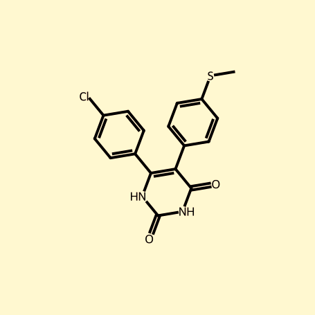 CSc1ccc(-c2c(-c3ccc(Cl)cc3)[nH]c(=O)[nH]c2=O)cc1